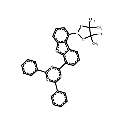 CC1(C)OB(c2cccc3sc4c(-c5nc(-c6ccccc6)nc(-c6ccccc6)n5)cccc4c23)OC1(C)C